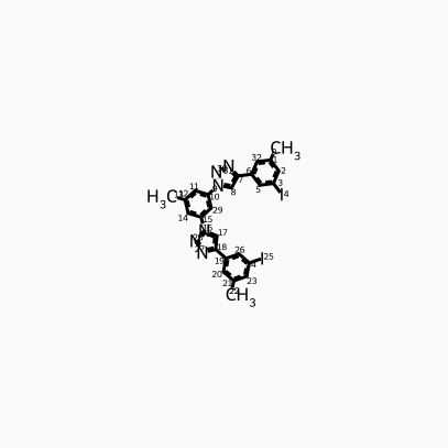 Cc1cc(I)cc(-c2cn(-c3cc(C)cc(-n4cc(-c5cc(C)cc(I)c5)nn4)c3)nn2)c1